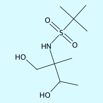 C[C](O)C(C)(CO)NS(=O)(=O)C(C)(C)C